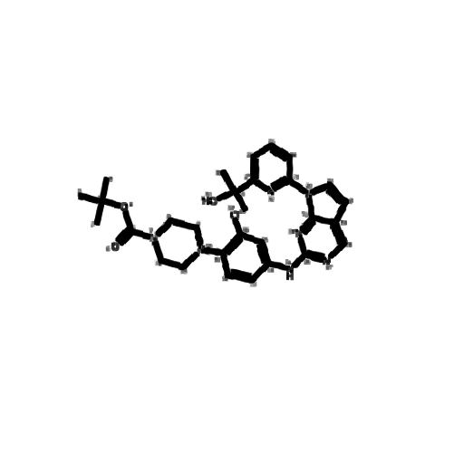 CC(C)(C)OC(=O)N1CCN(c2ccc(Nc3ncc4ccn(-c5cccc(C(C)(C)O)n5)c4n3)cc2Cl)CC1